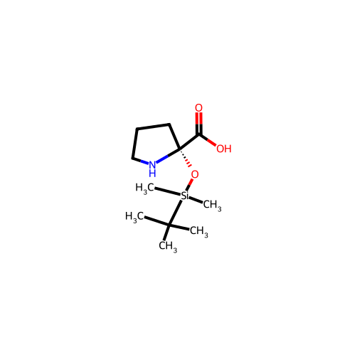 CC(C)(C)[Si](C)(C)O[C@@]1(C(=O)O)CCCN1